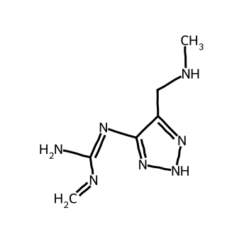 C=N/C(N)=N\c1n[nH]nc1CNC